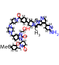 COc1ccc(CN2C(=O)CCC(n3c(=O)n(CCO)c4cc(CN5CCN(CC6CCN(C(=O)c7ccc(C8CCN([C@@H](C)c9cc%10c(-c%11ccc(N)nc%11)ccnc%10n9C)CC8)cc7)CC6)CC5)ccc43)C2=O)cc1